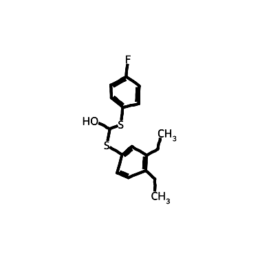 CCc1ccc(SC(O)Sc2ccc(F)cc2)cc1CC